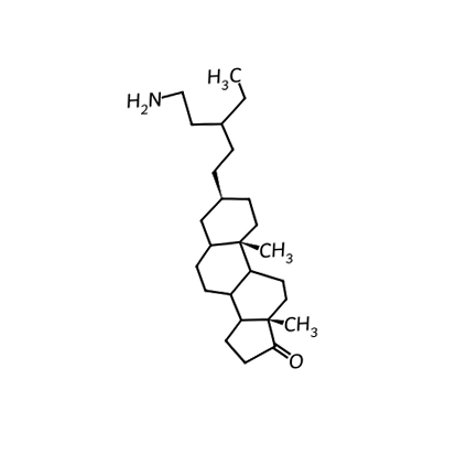 CCC(CCN)CC[C@H]1CC[C@@]2(C)C(CCC3C2CC[C@]2(C)C(=O)CCC32)C1